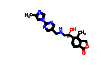 Cc1cn(-c2ncc(CNC[C@H](O)c3ccc4c(c3C)COC4=O)cn2)cn1